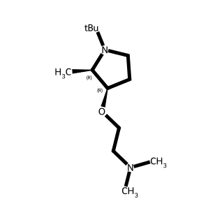 C[C@@H]1[C@H](OCCN(C)C)CCN1C(C)(C)C